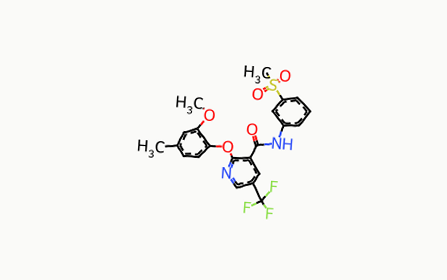 COc1cc(C)ccc1Oc1ncc(C(F)(F)F)cc1C(=O)Nc1cccc(S(C)(=O)=O)c1